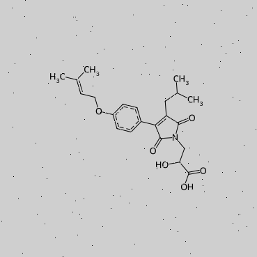 CC(C)=CCOc1ccc(C2=C(CC(C)C)C(=O)N(CC(O)C(=O)O)C2=O)cc1